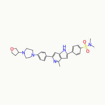 Cc1nc(-c2ccc(N3CCN(C4CCOC4)CC3)cc2)cc2[nH]c(-c3ccc(S(=O)(=O)N(C)C)cc3)cc12